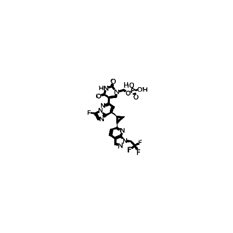 O=c1[nH]c(=O)n(COP(=O)(O)O)cc1-c1cc([C@H]2C[C@@H]2c2ccc3cnn(CC(F)(F)F)c3n2)c2ncc(F)n2n1